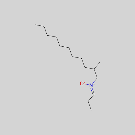 CCC=[N+]([O-])CC(C)CCCCCCCCC